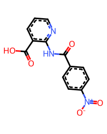 O=C(Nc1ncccc1C(=O)O)c1ccc([N+](=O)[O-])cc1